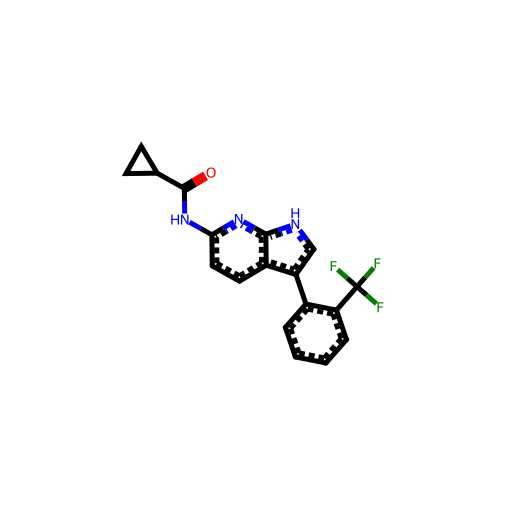 O=C(Nc1ccc2c(-c3ccccc3C(F)(F)F)c[nH]c2n1)C1CC1